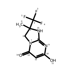 CC1(C(F)(F)F)Cn2c(nc(O)cc2=O)N1